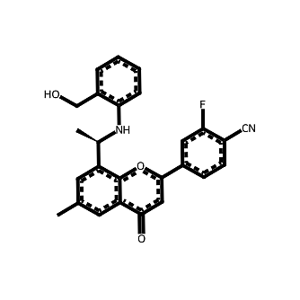 Cc1cc([C@@H](C)Nc2ccccc2CO)c2oc(-c3ccc(C#N)c(F)c3)cc(=O)c2c1